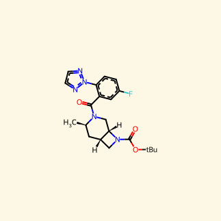 C[C@@H]1C[C@H]2CN(C(=O)OC(C)(C)C)[C@H]2CN1C(=O)c1cc(F)ccc1-n1nccn1